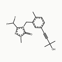 Cc1ccc(C#CC(C)(C)O)cc1Cn1c(C(F)F)nn(C)c1=O